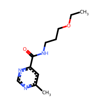 CCOCCCNC(=O)c1cc(C)ncn1